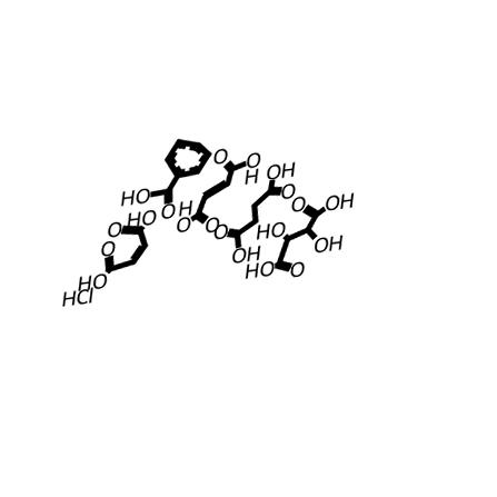 Cl.O=C(O)/C=C/C(=O)O.O=C(O)/C=C\C(=O)O.O=C(O)C(O)C(O)C(=O)O.O=C(O)CCC(=O)O.O=C(O)c1ccccc1